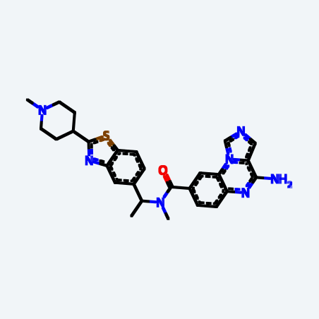 CC(c1ccc2sc(C3CCN(C)CC3)nc2c1)N(C)C(=O)c1ccc2nc(N)c3cncn3c2c1